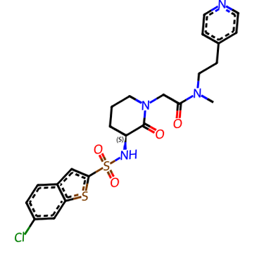 CN(CCc1ccncc1)C(=O)CN1CCC[C@H](NS(=O)(=O)c2cc3ccc(Cl)cc3s2)C1=O